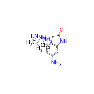 CN.CN.CN.Nc1ccc2c(c1)NC(=O)C2